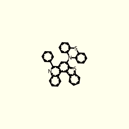 c1ccc(-c2nc3ccccc3c3c2cc(N2c4ccccc4Sc4ccccc42)c2sc4ccccc4c23)cc1